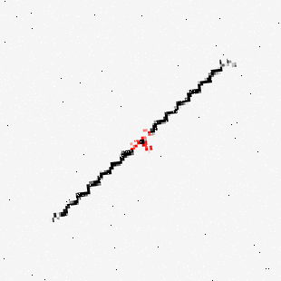 CCCCCCCCCCCC/C=C/OC(=O)O/C=C/CCCCCCCCCCCC